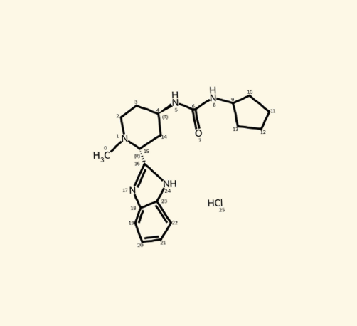 CN1CC[C@@H](NC(=O)NC2CCCC2)C[C@@H]1c1nc2ccccc2[nH]1.Cl